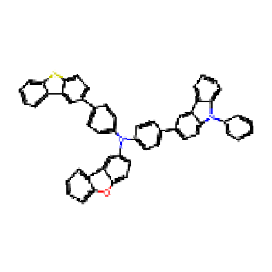 c1ccc(-n2c3ccccc3c3cc(-c4ccc(N(c5ccc(-c6ccc7sc8ccccc8c7c6)cc5)c5ccc6oc7ccccc7c6c5)cc4)ccc32)cc1